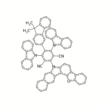 CC1(C)c2ccccc2-c2cc(-c3c(-n4c5ccccc5c5ccccc54)c(C#N)c(-n4c5cc6ccccc6cc5c5c6oc7ccccc7c6ccc54)c(C#N)c3-n3c4ccccc4c4ccccc43)ccc21